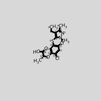 CCc1c(C)nn(C)c1Sc1cc(O[C@@H](C)C(=O)O)c(Cl)cc1Cl